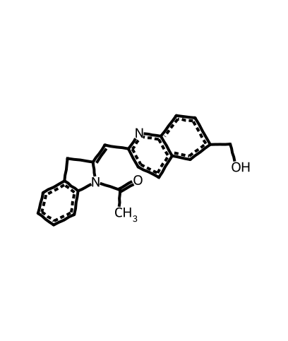 CC(=O)N1/C(=C\c2ccc3cc(CO)ccc3n2)Cc2ccccc21